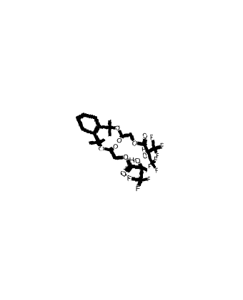 CC(C)(OC(=O)COC(=O)C(C)(O)C(F)(F)F)C1CCCCC1C(C)(C)OC(=O)COC(=O)C(O)(C(F)(F)F)C(F)(F)F